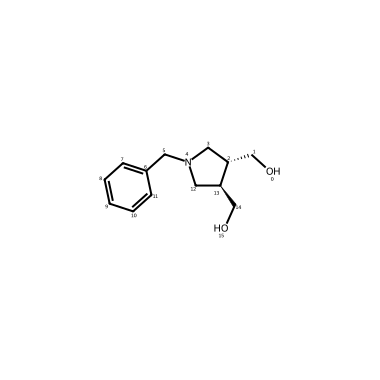 OC[C@H]1CN(Cc2ccccc2)C[C@@H]1CO